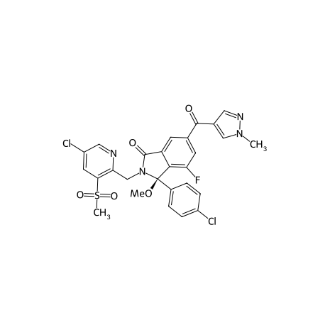 CO[C@]1(c2ccc(Cl)cc2)c2c(F)cc(C(=O)c3cnn(C)c3)cc2C(=O)N1Cc1ncc(Cl)cc1S(C)(=O)=O